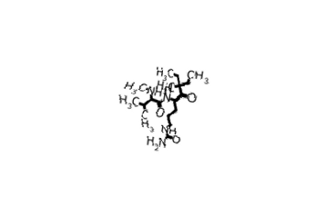 CCC(C)(CC)C(=O)C(CCCNC(N)=O)NC(=O)C(NC)C(C)C